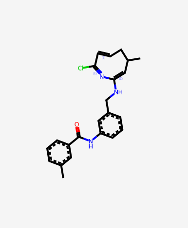 Cc1cccc(C(=O)Nc2cccc(CNC3=C/C(C)C/C=C/C(Cl)=N\3)c2)c1